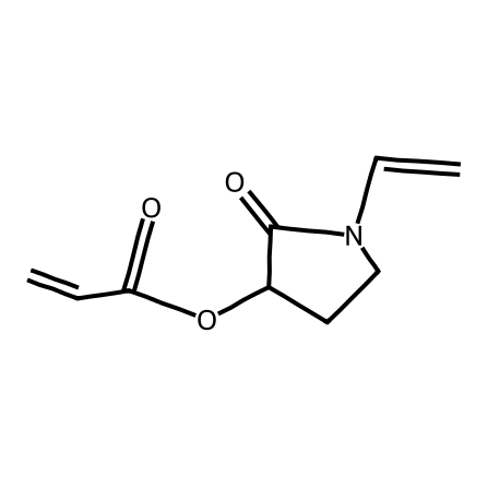 C=CC(=O)OC1CCN(C=C)C1=O